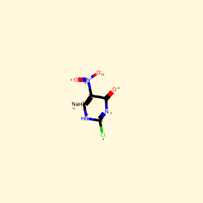 O=c1nc(Cl)[nH]cc1[N+](=O)[O-].[NaH]